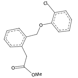 COC(=O)Cc1ccccc1COc1ccccc1Cl